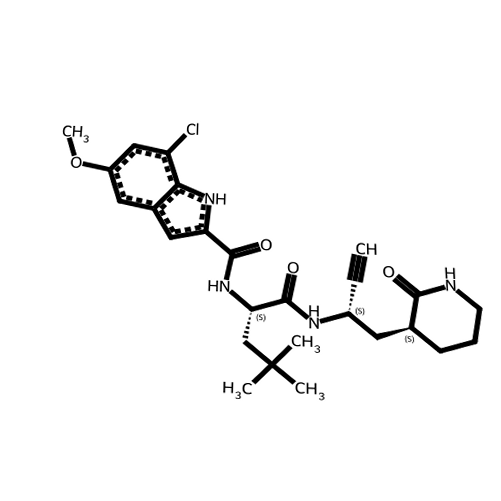 C#C[C@H](C[C@@H]1CCCNC1=O)NC(=O)[C@H](CC(C)(C)C)NC(=O)c1cc2cc(OC)cc(Cl)c2[nH]1